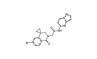 O=C(CN1CC2(CC2)c2cc(Br)ccc2C1=O)Nc1ccn2nccc2n1